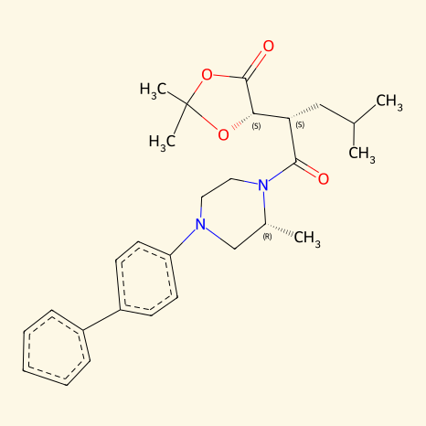 CC(C)C[C@H](C(=O)N1CCN(c2ccc(-c3ccccc3)cc2)C[C@H]1C)[C@@H]1OC(C)(C)OC1=O